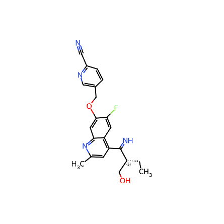 CC[C@H](CO)C(=N)c1cc(C)nc2cc(OCc3ccc(C#N)nc3)c(F)cc12